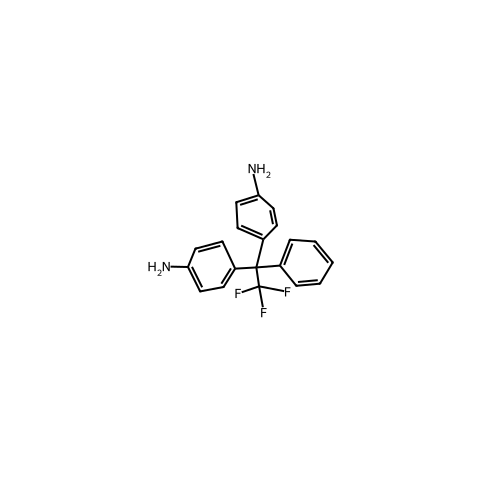 Nc1ccc(C(c2ccccc2)(c2ccc(N)cc2)C(F)(F)F)cc1